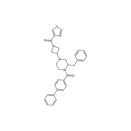 O=C(c1cscn1)N1CC(N2CCN(C(=O)c3ccc(-c4ccccc4)cc3)C(Cc3ccccc3)C2)C1